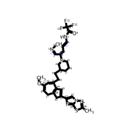 C\N=C/C(=C\C=C\NC(=O)C(F)(F)F)N1CCCC(CCC2=CC(OC)=CCC3=C2C=C(c2cn4nc(C)sc4n2)C3)C1